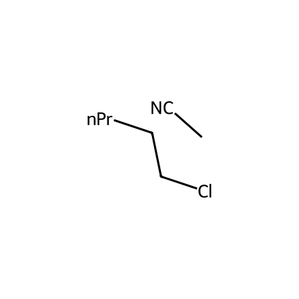 CC#N.CCCCCCl